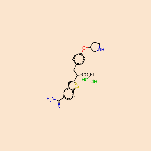 CCOC(=O)C(Cc1ccc(O[C@H]2CCNC2)cc1)c1cc2cc(C(=N)N)ccc2s1.Cl.Cl